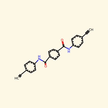 C#Cc1ccc(NC(=O)c2ccc(C(=O)Nc3ccc(C#C)cc3)cc2)cc1